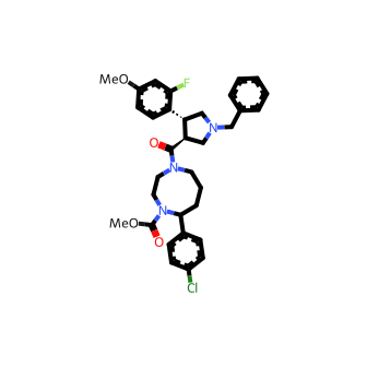 COC(=O)N1CCN(C(=O)[C@@H]2CN(Cc3ccccc3)C[C@H]2c2ccc(OC)cc2F)CCCC1c1ccc(Cl)cc1